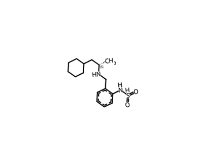 C[C@@H](CC1CCCCC1)NCc1ccccc1N[SH](=O)=O